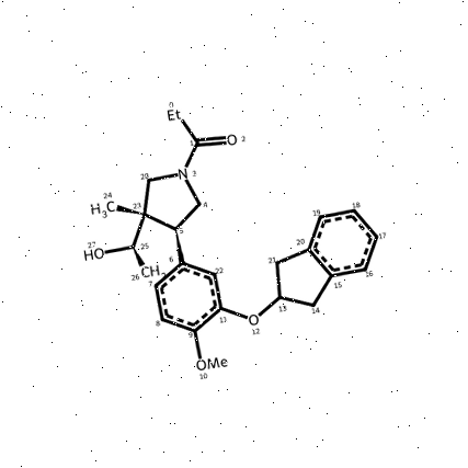 CCC(=O)N1C[C@@H](c2ccc(OC)c(OC3Cc4ccccc4C3)c2)[C@](C)([C@@H](C)O)C1